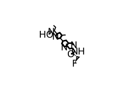 CC/C(=N/O)c1cc(C)c(-c2cnc3cc(NC(=O)[C@H]4C[C@H]4F)ncc3c2)cn1